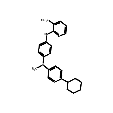 CN(c1ccc(Nc2ncccc2C(=O)O)cc1)c1ccc(C2CCCCC2)cc1